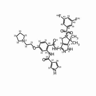 CC1(C)c2[nH]nc(NC(=O)c3ccc(OCCN4CCCC4)cc3NC(=O)c3cc[nH]c3)c2CN1S(=O)(=O)c1cc(F)cc(F)c1